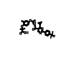 Cc1cc(OC(C)CNC(=O)c2cnc(-c3ccc(C(F)(F)F)cc3)nc2C2CC2)ccc1OC(C)(C)C(=O)O